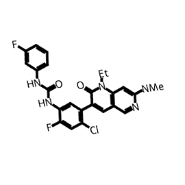 CCn1c(=O)c(-c2cc(NC(=O)Nc3cccc(F)c3)c(F)cc2Cl)cc2cnc(NC)cc21